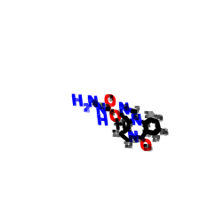 NNC(=O)Oc1ncn2c1[C@@H]1CCN1C(=O)c1ccccc1-2